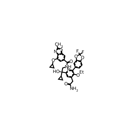 CCOc1c(CC(N)=O)cc([C@@](O)(CNC(=O)c2cc(OC3CC3)c3nc(C)sc3c2)C2CC2)nc1-c1ccc2c(c1)OC(F)(F)O2